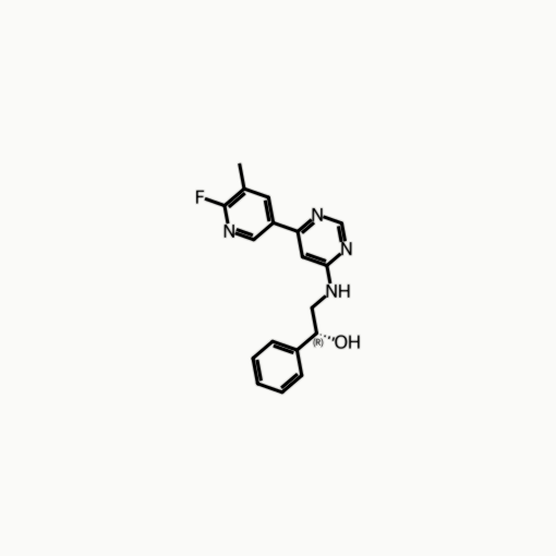 Cc1cc(-c2cc(NC[C@H](O)c3ccccc3)ncn2)cnc1F